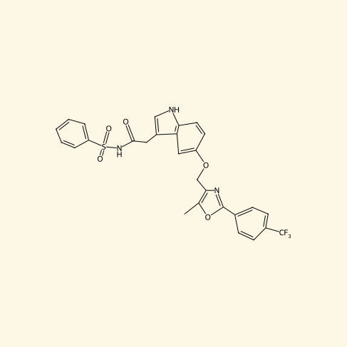 Cc1oc(-c2ccc(C(F)(F)F)cc2)nc1COc1ccc2[nH]cc(CC(=O)NS(=O)(=O)c3ccccc3)c2c1